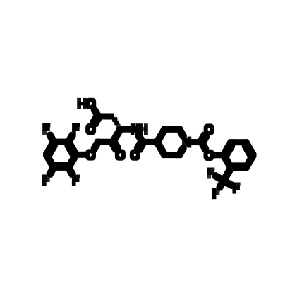 O=C(O)C[C@H](NC(=O)C1CCN(C(=O)Oc2ccccc2C(F)(F)F)CC1)C(=O)COc1c(F)c(F)cc(F)c1F